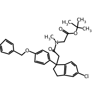 CN(CC(=O)OC(C)(C)C)C(=O)CC1(c2ccc(OCc3ccccc3)cc2)CCc2cc(Cl)ccc21